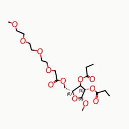 CCC(=O)OC1[C@@H](COC(=O)COCCOCCOCCOC)O[C@@H](OC)[C@H]1OC(=O)CC